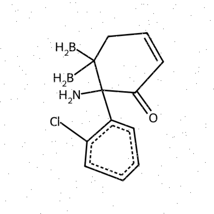 BC1(B)CC=CC(=O)C1(N)c1ccccc1Cl